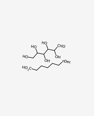 CCCCCCCCCCCCCCCC(=O)O.O=CC(O)C(O)C(O)C(O)CO